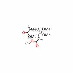 C=C(C)C(=O)OC.CCCOC(=O)C(C)=C[Si](OC)(OC)OC